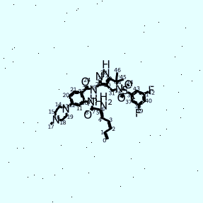 C=C/C=C\C=C(/N)C(=O)Nc1cc(N2CCN(C)CC2)ccc1C(=O)Nc1n[nH]c2c1CN(S(=O)(=O)c1cc(F)cc(F)c1)C2(C)C